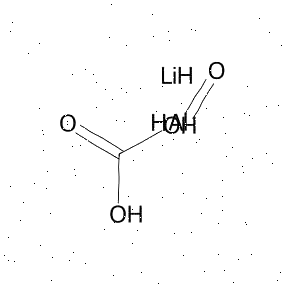 O=C(O)O.[LiH].[O]=[AlH]